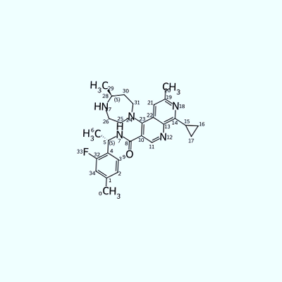 Cc1ccc([C@H](C)NC(=O)c2cnc3c(C4CC4)nc(C)cc3c2N2CCN[C@@H](C)CC2)c(F)c1